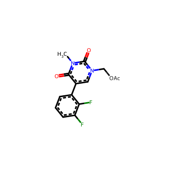 CC(=O)OCn1cc(-c2cccc(F)c2F)c(=O)n(C)c1=O